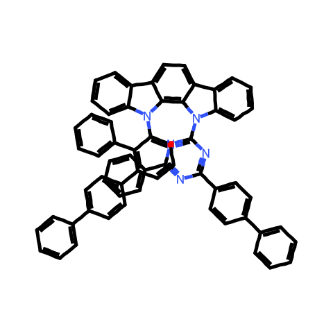 c1ccc(-c2ccc(-c3nc(-c4ccccc4)nc(-n4c5ccccc5c5ccc6c7ccccc7n(-c7cccc(-c8ccc(-c9ccccc9)cc8)c7-c7ccccc7)c6c54)n3)cc2)cc1